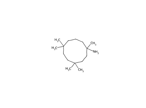 CC1(C)CCCC(C)(N)CCC(C)(C)CC1